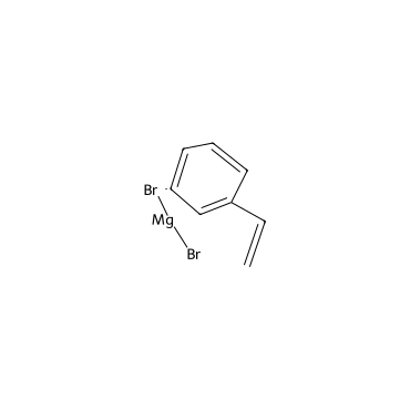 C=Cc1c[c]ccc1.[Br][Mg][Br]